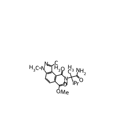 COC(=O)c1ccc2c(c(C)nn2C)c1C(=O)NC(C)(C(N)=O)C(C)C